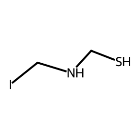 SCNCI